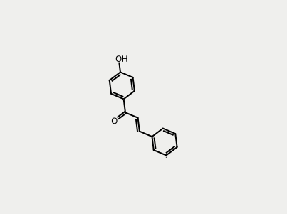 O=C(/C=C/c1c[c]ccc1)c1ccc(O)cc1